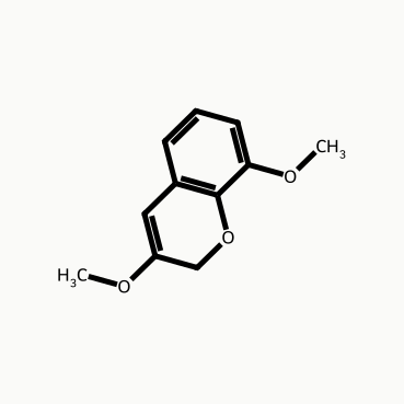 COC1=Cc2cccc(OC)c2OC1